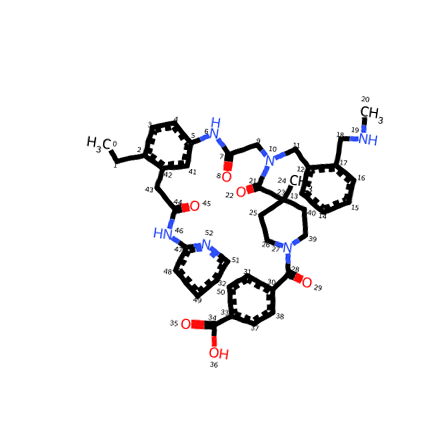 CCc1ccc(NC(=O)CN(Cc2ccccc2CNC)C(=O)C2(C)CCN(C(=O)c3ccc(C(=O)O)cc3)CC2)cc1CC(=O)Nc1ccccn1